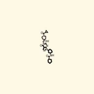 O=C(Nc1cccc(-n2ncc3c(=O)n(CC4(O)CCN(C(=O)C5CC5)CC4)cnc32)c1)c1ccccc1